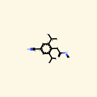 C=NC(=C)Cc1c(C(C)C)cc(C#N)cc1C(C)C